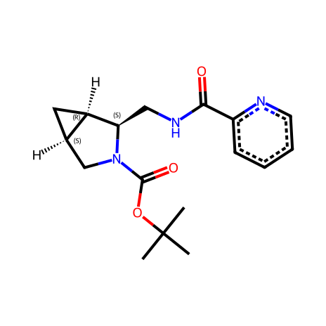 CC(C)(C)OC(=O)N1C[C@H]2C[C@H]2[C@H]1CNC(=O)c1ccccn1